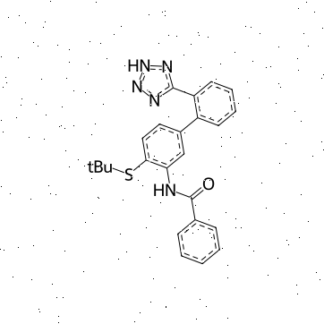 CC(C)(C)Sc1ccc(-c2ccccc2-c2nn[nH]n2)cc1NC(=O)c1ccccc1